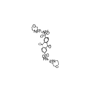 O=C1c2ccc(S(=O)(=O)NCCC3COCCN3)cc2C(=O)c2ccc(S(=O)(=O)NCCC3COCCN3)cc21